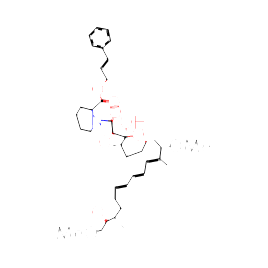 COCC(=O)[C@H](C)C[C@H](C)C=CC=CC=C(C)[C@H](C[C@@H]1CC[C@@H](C)[C@](O)(C(=O)C(=O)N2CCCCC2C(=O)OCC=Cc2ccccc2)O1)OC